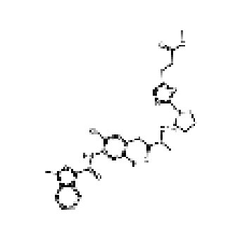 COC(=O)CCc1cnc(N2CCC[C@@H]2OC(C)C(=O)Cc2cc(Cl)c(NC(=O)c3cn(C)c4ccccc34)cc2F)o1